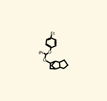 CCc1ccc(OC(OC2CC3CC2C2CCCC32)C(C)C)cc1